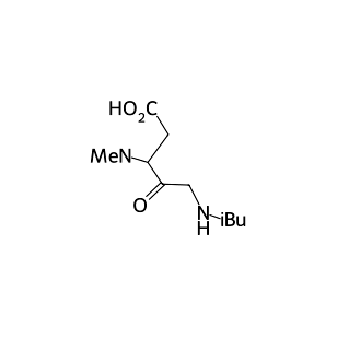 CCC(C)NCC(=O)C(CC(=O)O)NC